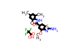 COc1cc(C(=O)Nc2c(C)cc(C)cc2C)cc2sc(N)nc12.O=C(O)C(F)(F)F